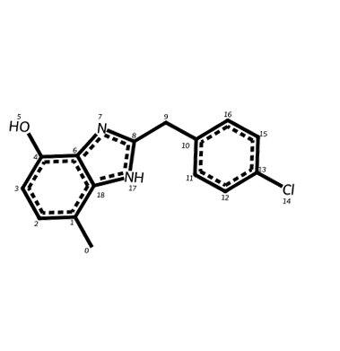 Cc1ccc(O)c2nc(Cc3ccc(Cl)cc3)[nH]c12